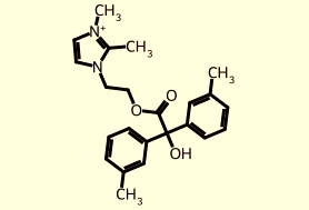 Cc1cccc(C(O)(C(=O)OCCn2cc[n+](C)c2C)c2cccc(C)c2)c1